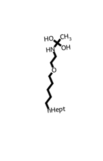 CCCCCCCCCCCCOCCNC(C)(O)O